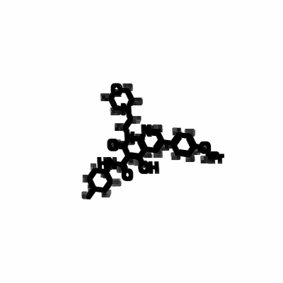 CC1CCC(NC(=O)c2c(O)c3cc(-c4ccc(OC(C)C)cc4)cnc3n(CCN3CCOCC3)c2=O)CC1